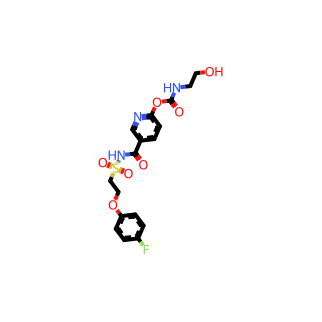 O=C(NCCO)Oc1ccc(C(=O)NS(=O)(=O)CCOc2ccc(F)cc2)cn1